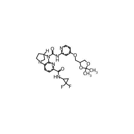 CC1(C)OCC(COc2ccnc(NC(=O)N3c4nc(C(=O)NC5CC5(F)F)ccc4N4CC[C@H]3C4)c2)O1